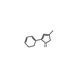 CC1=C=C(C2=CC=CCC2)NC1